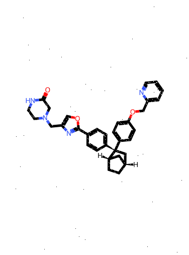 O=C1CN(Cc2coc(-c3ccc([C@@]4(c5ccc(OCc6ccccn6)cc5)C[C@@H]5CC[C@H]4C5)cc3)n2)CCN1